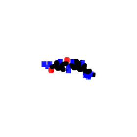 Cc1cc(C(N)=O)cnc1C(=O)Nc1cc2cc(-c3cn(C)nn3)cnc2cn1